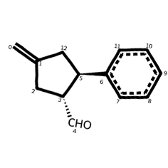 C=C1C[C@@H](C=O)[C@H](c2ccccc2)C1